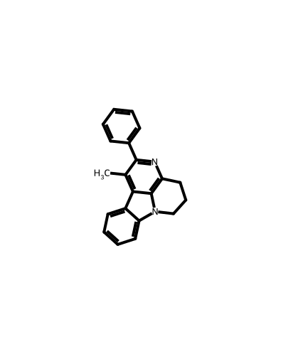 Cc1c(-c2ccccc2)nc2c3c1c1ccccc1n3CCC2